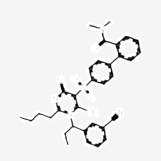 CCCCc1nc(=O)c(S(=O)(=O)c2ccc(-c3ccccc3C(=O)N(C)C)cc2)c(O)n1C(CC)c1cccc(C#N)c1